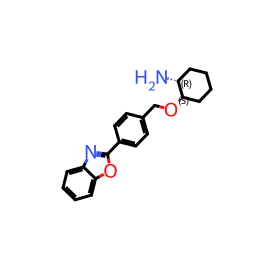 N[C@@H]1CCCC[C@@H]1OCc1ccc(-c2nc3ccccc3o2)cc1